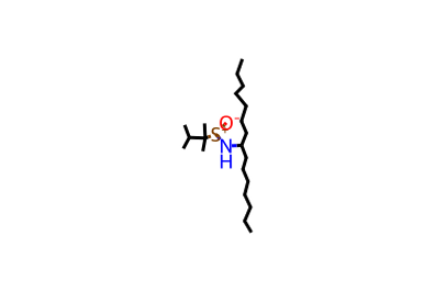 CCCCCCCC(CCCCCCC)N[S+]([O-])C(C)(C)C(C)C